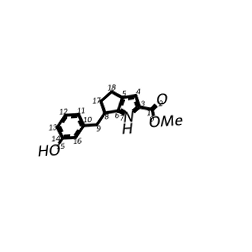 COC(=O)c1cc2c([nH]1)C(Cc1cccc(O)c1)CC2